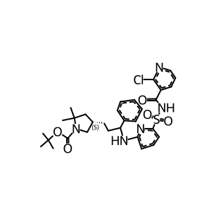 CC(C)(C)OC(=O)N1C[C@@H](CCC(Nc2cccc(S(=O)(=O)NC(=O)c3cccnc3Cl)n2)c2ccccc2)CC1(C)C